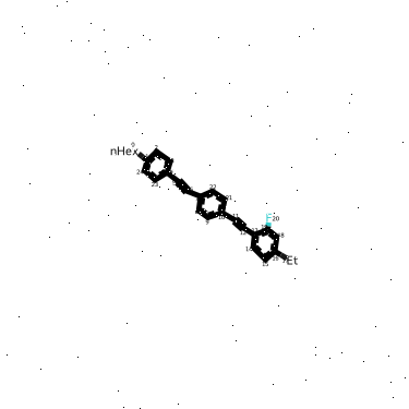 CCCCCCc1ccc(C#Cc2ccc(C#Cc3ccc(CC)cc3F)cc2)cc1